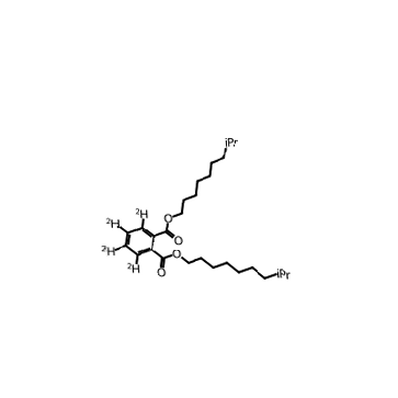 [2H]c1c([2H])c([2H])c(C(=O)OCCCCCCCC(C)C)c(C(=O)OCCCCCCCC(C)C)c1[2H]